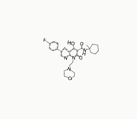 CC1(NC(=O)c2c(O)c3cc(-c4ccc(F)cc4)cnc3n(CCN3CCOCC3)c2=O)CCCCC1